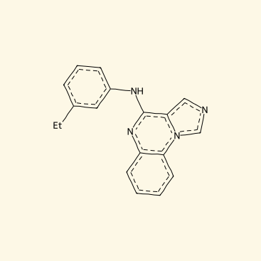 CCc1cccc(Nc2nc3ccccc3n3cncc23)c1